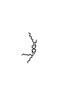 CCCCCCCC(CC)N1CCC2(CCN(CC(CCCCC)CCCCCC)CC2)CC1